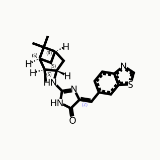 C[C@@H]1[C@@H](NC2=N/C(=C\c3ccc4ncsc4c3)C(=O)N2)C[C@H]2C[C@@H]1C2(C)C